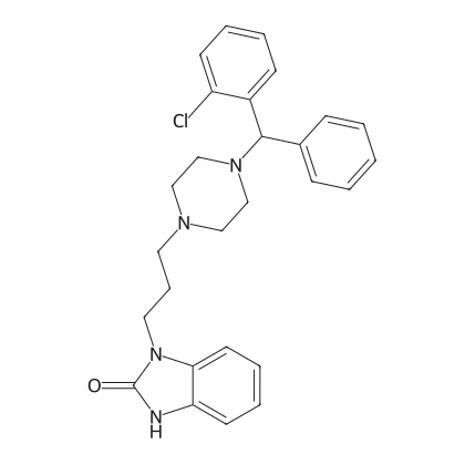 O=c1[nH]c2ccccc2n1CCCN1CCN(C(c2ccccc2)c2ccccc2Cl)CC1